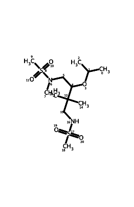 CC(C)OC(CN(C)S(C)(=O)=O)C(C)(C)CNS(C)(=O)=O